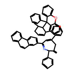 C=C1CC(c2ccccc2C2C=CCC(C)C2C2(c3ccccc3)c3ccccc3Oc3ccccc32)=CC(c2ccc3c(ccc4ccccc43)c2)=NC1c1ccccc1